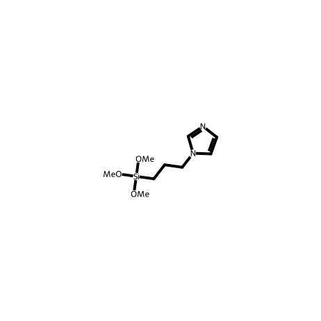 CO[Si](CCCn1ccnc1)(OC)OC